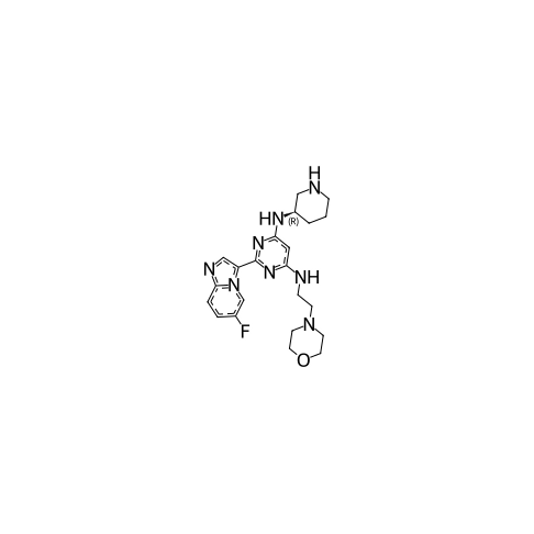 Fc1ccc2ncc(-c3nc(NCCN4CCOCC4)cc(N[C@@H]4CCCNC4)n3)n2c1